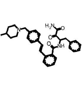 CC1CCN(Cc2ccc(C=Cc3ccccc3C(=O)NC(Cc3ccccc3)C(=O)C(N)=O)cc2)CC1